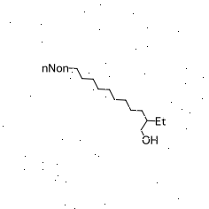 CCCCCCCCCCCCCCCCCCC(CC)CO